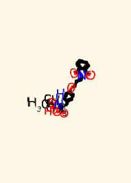 CC(C)(C)OC(=O)N[C@@H](Cc1ccc(OCCCN2C(=O)c3ccccc3C2=O)cc1)C(=O)O